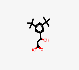 CC(C)(C)c1cc(C(O)CC(=O)O)cc(C(C)(C)C)c1